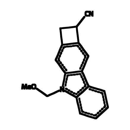 COCn1c2ccccc2c2cc3c(cc21)CC3C#N